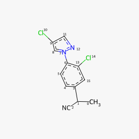 CC(C#N)c1ccc(-n2cc(Cl)cn2)c(Cl)c1